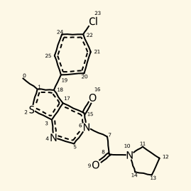 Cc1sc2ncn(CC(=O)N3CCCC3)c(=O)c2c1-c1ccc(Cl)cc1